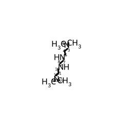 CN(C)CCCNCCNCCCN(C)C